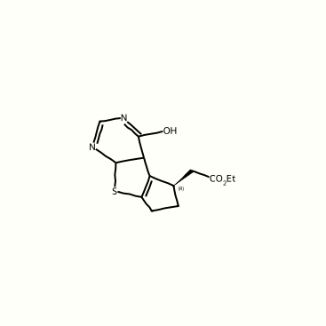 CCOC(=O)C[C@H]1CCC2=C1C1C(O)=NC=NC1S2